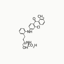 Cc1ccccc1C(=O)c1ccc(Nc2ccccc2CC[C@H](CO)NC(=O)O)cc1Cl